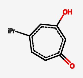 CC(C)c1ccc(=O)cc(O)c1